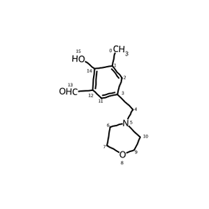 Cc1cc(CN2CCOCC2)cc(C=O)c1O